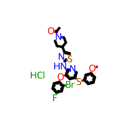 COc1cccc(Sc2cnc(Nc3nc(C4CCN(C(C)=O)CC4)cs3)c(Oc3ccc(F)cc3Br)c2)c1.Cl